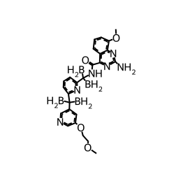 BC(B)(NC(=O)c1nc(N)nc2c(OC)cccc12)c1cccc(C(B)(B)c2cncc(OCCOC)c2)n1